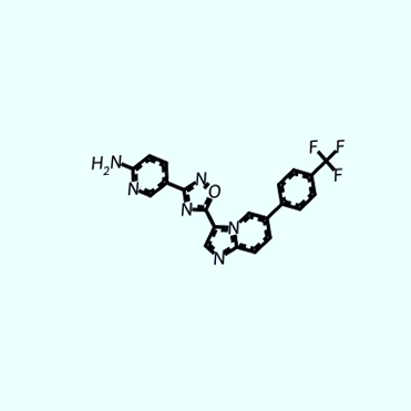 Nc1ccc(-c2noc(-c3cnc4ccc(-c5ccc(C(F)(F)F)cc5)cn34)n2)cn1